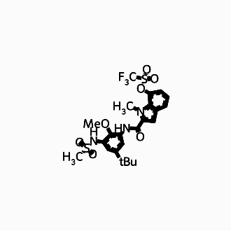 COc1c(NC(=O)c2cc3cccc(OS(=O)(=O)C(F)(F)F)c3n2C)cc(C(C)(C)C)cc1NS(C)(=O)=O